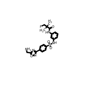 CC(C)(CF)C(=O)Nc1cccc(NS(=O)(=O)c2ccc(-c3noc(CN)n3)cc2)c1